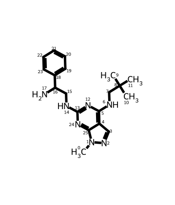 Cn1ncc2c(NCC(C)(C)C)nc(NCC(N)c3ccccc3)nc21